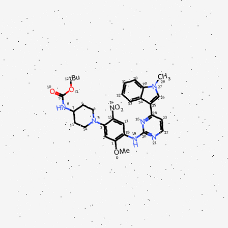 COc1cc(N2CCC(NC(=O)OC(C)(C)C)CC2)c([N+](=O)[O-])cc1Nc1nccc(-c2cn(C)c3ccccc23)n1